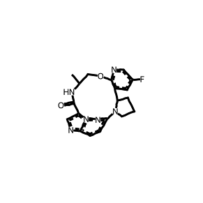 CC1COc2ncc(F)cc2C2CCCN2c2ccc3ncc(n3n2)C(=O)N1